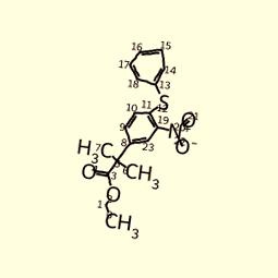 CCOC(=O)C(C)(C)c1ccc(Sc2ccccc2)c([N+](=O)[O-])c1